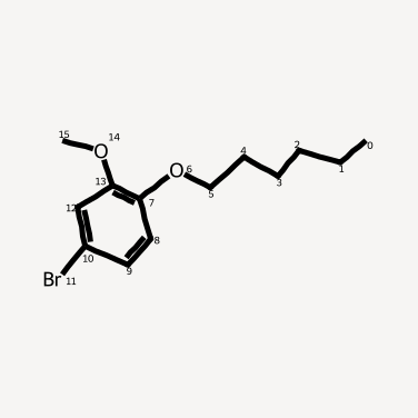 CCCCCCOc1ccc(Br)cc1OC